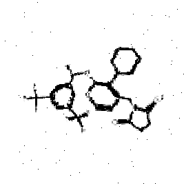 C[C@@H](O[C@H]1OC=CC(CN2C(=O)CCC2=O)=C1C1C=CCCC1)c1cc(C(F)(F)F)cc(C(F)(F)F)c1